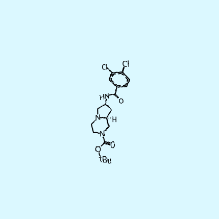 CC(C)(C)OC(=O)N1CCN2C[C@@H](NC(=O)c3ccc(Cl)c(Cl)c3)C[C@H]2C1